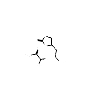 CC(C)C(=O)O.CCCCCCCCCCC1CSC(=S)S1